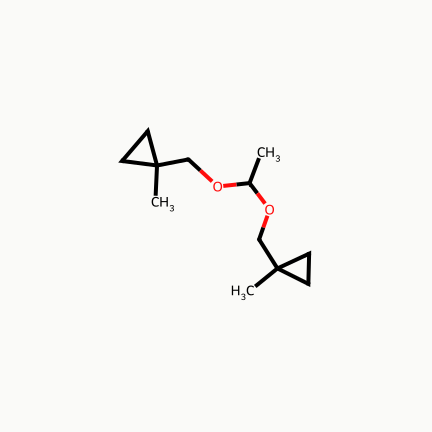 C[C](OCC1(C)CC1)OCC1(C)CC1